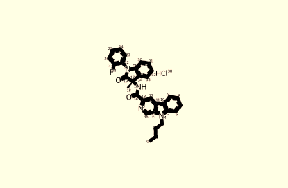 CCCCn1c2ccccc2c2cc(C(=O)N[C@]3(C)C(=O)N(c4ccccc4F)c4ccccc43)ncc21.Cl